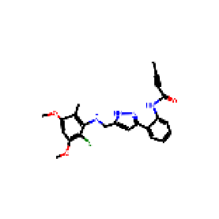 CC#CC(=O)Nc1ccccc1-c1cc(CNc2c(C)c(OC)cc(OC)c2Cl)[nH]n1